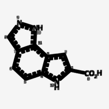 O=C(O)c1cc2c(ccc3cn[nH]c32)[nH]1